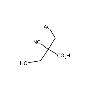 CC(=O)CC(C#N)(CO)C(=O)O